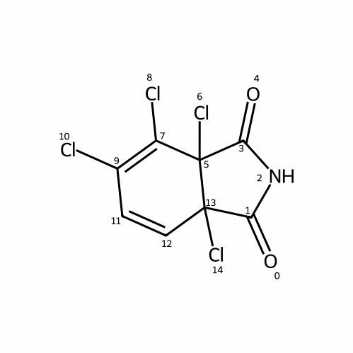 O=C1NC(=O)C2(Cl)C(Cl)=C(Cl)C=CC12Cl